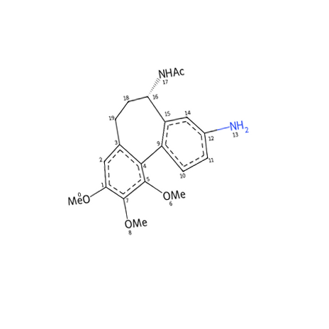 COc1cc2c(c(OC)c1OC)-c1ccc(N)cc1[C@@H](NC(C)=O)CC2